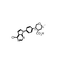 C[C@@H]1CN(C(=O)O)[C@@H](c2ccc(-n3ccc4c(Cl)ncnc43)cc2)CO1